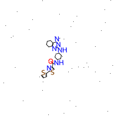 CN(C)c1nc(N[C@H]2CC[C@@H](NC(=O)c3csc(-c4cccs4)n3)CC2)nc2c1CCCC2